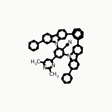 Cc1cc(-c2cc(-n3c4cc(-c5ccccc5)ccc4c4ccc(-c5ccccc5)cc43)c(C#N)c(-n3c4cc(-c5ccccc5)ccc4c4ccc(-c5ccccc5)cc43)c2)nc(C)n1